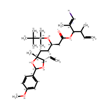 C=CC(C)C(OC(=O)C[C@@H](CC[C@@]1(C)OC(c2ccc(OC)cc2)O[C@H]1C=C)O[Si](C)(C)C(C)(C)C)/C(C)=C/I